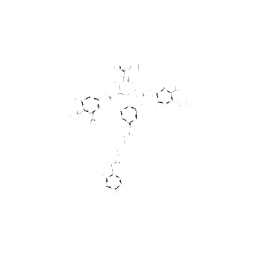 O=C(O)N1C[C@H](OCc2ccc(Cl)c(Cl)c2)[C@H](c2ccc(OCCCOCc3ccccc3)cc2)[C@H](OCc2ccc(Cl)c(Cl)c2)C1